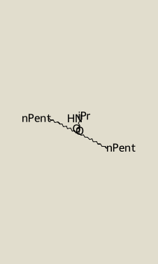 CCCCCC=CCC=CCCCCCCCCC(CCCCCCCCC=CCC=CCCCCC)OC(=O)CCCNC(C)C